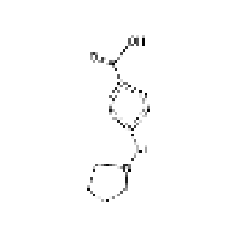 O=C(O)c1ccc(NN2CCCC2)cc1